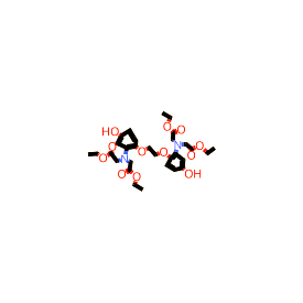 CCOC(=O)CN(CC(=O)OCC)c1cc(O)ccc1OCCOc1ccc(O)cc1N(CC(=O)OCC)CC(=O)OCC